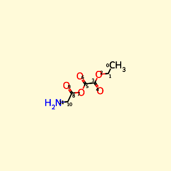 CCOC(=O)C(=O)OC(=O)CN